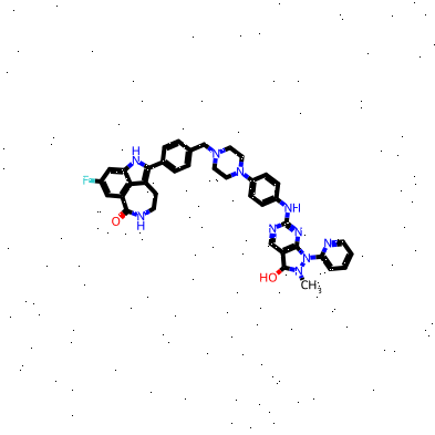 CN1C(O)c2cnc(Nc3ccc(N4CCN(Cc5ccc(-c6[nH]c7cc(F)cc8c7c6CCNC8=O)cc5)CC4)cc3)nc2N1c1ccccn1